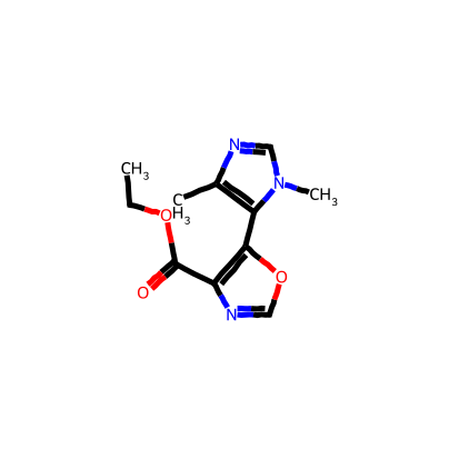 CCOC(=O)c1ncoc1-c1c(C)ncn1C